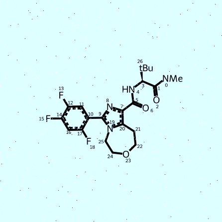 CNC(=O)[C@@H](NC(=O)c1nc(-c2cc(F)c(F)cc2F)n2c1CCOCC2)C(C)(C)C